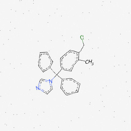 Cc1cc(C(c2ccccc2)(c2ccccc2)n2ccnc2)ccc1CCl